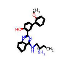 CC[C@@H](N)CNc1nc(-c2cc(-c3ccccc3OC)ccc2O)nc2ccccc12